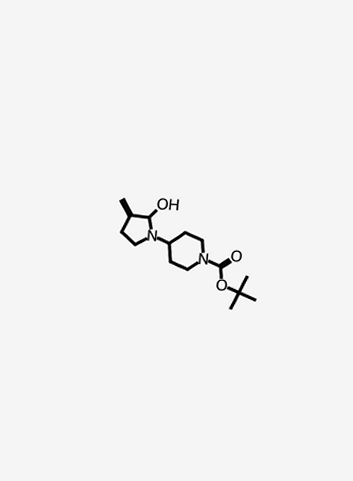 C=C1CCN(C2CCN(C(=O)OC(C)(C)C)CC2)C1O